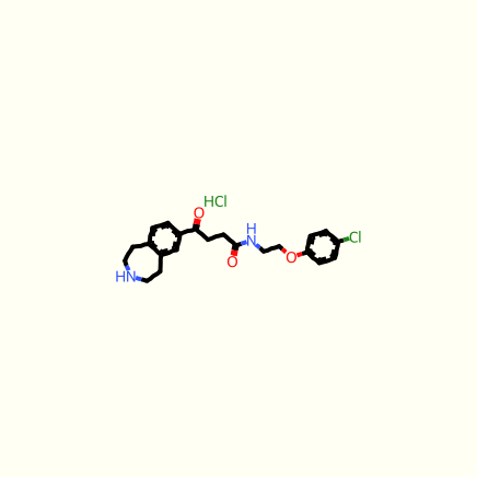 Cl.O=C(CCC(=O)c1ccc2c(c1)CCNCC2)NCCOc1ccc(Cl)cc1